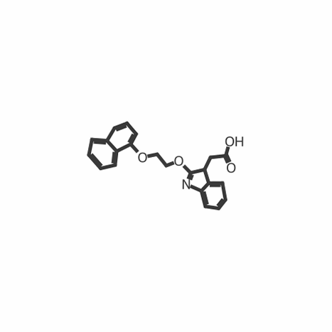 O=C(O)CC1C(OCCOc2cccc3ccccc23)=Nc2ccccc21